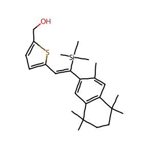 Cc1cc2c(cc1C(=Cc1ccc(CO)s1)[Si](C)(C)C)C(C)(C)CCC2(C)C